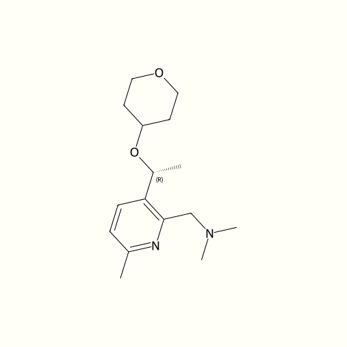 Cc1ccc([C@@H](C)OC2CCOCC2)c(CN(C)C)n1